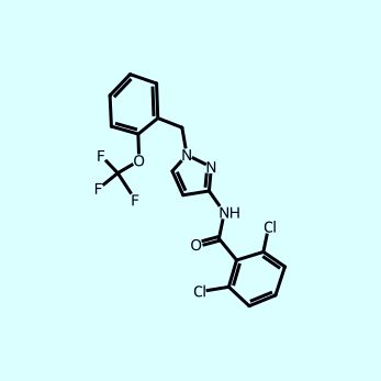 O=C(Nc1ccn(Cc2ccccc2OC(F)(F)F)n1)c1c(Cl)cccc1Cl